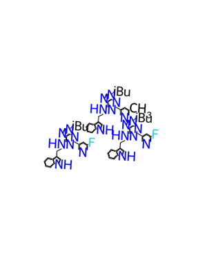 CCC(C)n1cnc2c(NCCc3c[nH]c4ccccc34)nc(-c3cncc(C)c3)nc21.CCC(C)n1cnc2c(NCCc3c[nH]c4ccccc34)nc(-c3cncc(F)c3)nc21.CCC(C)n1cnc2c(NCCc3c[nH]c4ccccc34)nc(-c3cncc(F)c3)nc21